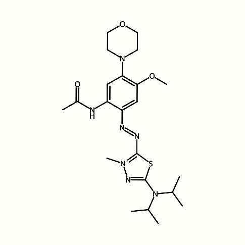 COc1cc(N=Nc2sc(N(C(C)C)C(C)C)n[n+]2C)c(NC(C)=O)cc1N1CCOCC1